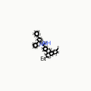 C=C/C=C\c1ccc(/C(=C\C(=C)CC)c2ccc(C(=N)/N=C(C)/C(=C\C(=C/C)c3ccccc3)c3ccccc3)cc2)c(C)c1C